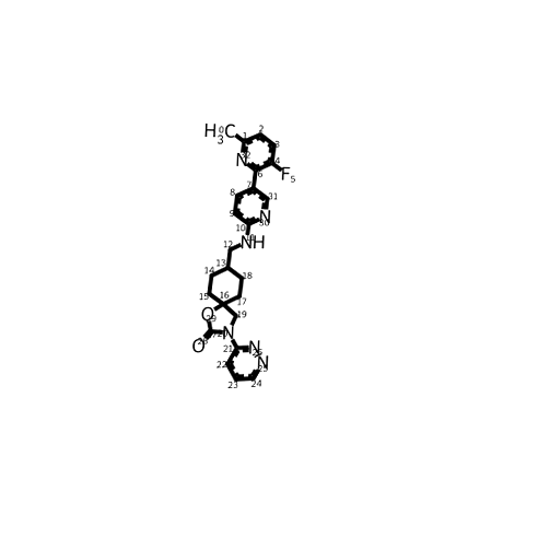 Cc1ccc(F)c(-c2ccc(NCC3CCC4(CC3)CN(c3cccnn3)C(=O)O4)nc2)n1